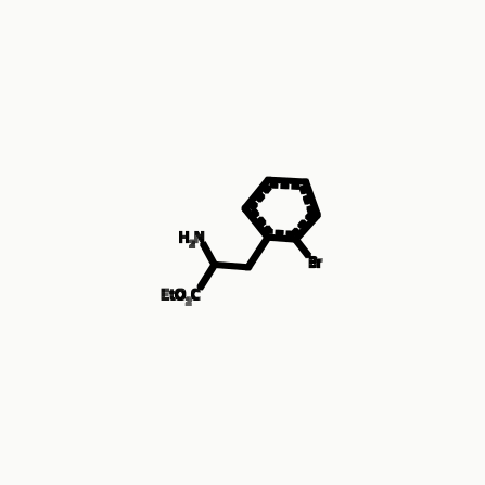 CCOC(=O)C(N)Cc1ccccc1Br